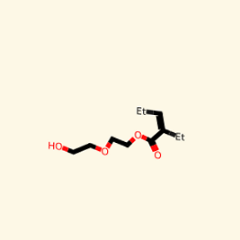 CCC=C(CC)C(=O)OCCOCCO